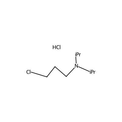 CC(C)N(CCCCl)C(C)C.Cl